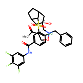 COC(=O)C1CON(Cc2ccccc2)[C@H]1[C@]1(O)CC2CCC(C1)[C@H]2S(=O)(=O)c1cc(C(=O)Nc2cc(F)c(F)c(F)c2)ccc1Cl